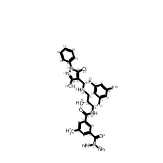 CCCN(CCC)C(=O)c1cc(C)cc(C(=O)N[C@@H](Cc2cc(F)cc(F)c2)[C@H](O)CNCc2c(C)nn(-c3ccccc3)c2Cl)c1